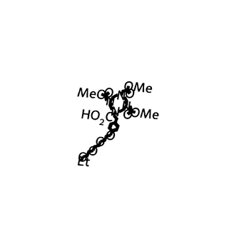 CCOCCOCCOCCOc1ccc(CC(C(=O)O)N2CCN(CC(=O)OC)CCN(CC(=O)OC)CCN(CC(=O)OC)CC2)cc1